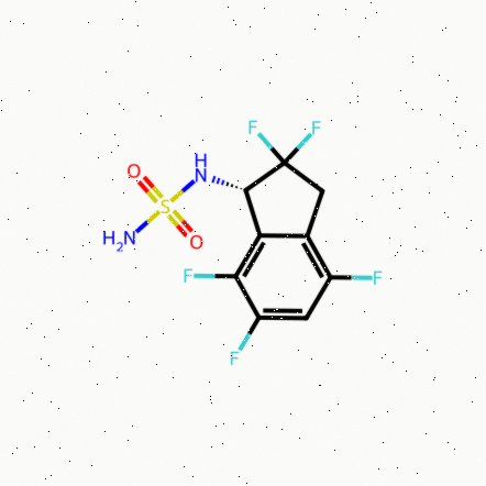 NS(=O)(=O)N[C@H]1c2c(F)c(F)cc(F)c2CC1(F)F